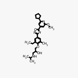 CCc1cc(-c2noc(-c3cc(OC)nc(C4CCCC4)c3)n2)cc(C)c1OCC(O)CNC(C)C